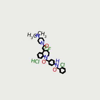 CN(C)C1CCN(C(=O)C=C2c3ccccc3N(C(=O)c3ccc(NC(=O)c4ccccc4Cl)cc3)CCC2(F)F)CC1.Cl